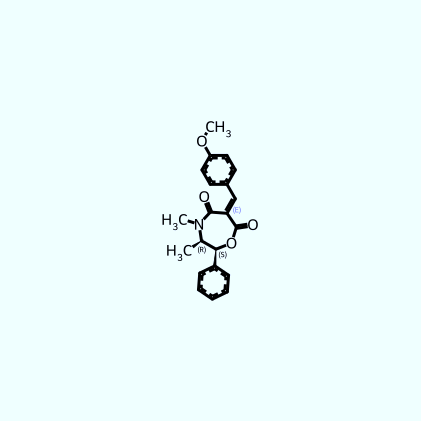 COc1ccc(/C=C2/C(=O)O[C@@H](c3ccccc3)[C@@H](C)N(C)C2=O)cc1